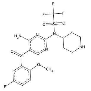 COc1ccc(F)cc1C(=O)c1cnc(N(C2CCNCC2)S(=O)(=O)C(F)(F)F)nc1N